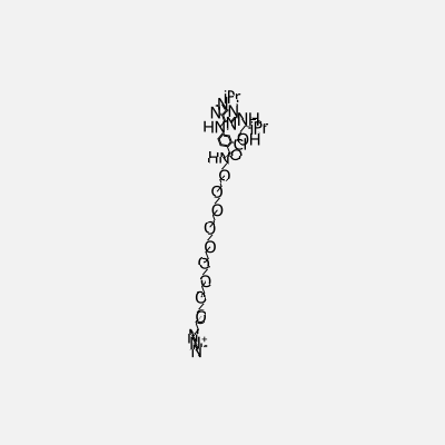 CC(C)[C@@H](CO)Nc1nc(Nc2ccc(C(=O)NCCOCCOCCOCCOCCOCCOCCOCCOCCOCCN=[N+]=[N-])c(Cl)c2)c2ncn(C(C)C)c2n1